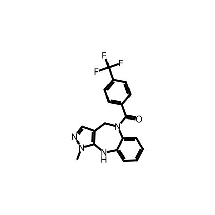 Cn1ncc2c1Nc1ccccc1N(C(=O)c1ccc(C(F)(F)F)cc1)C2